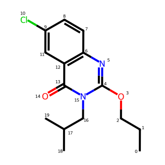 CCCOc1nc2ccc(Cl)cc2c(=O)n1CC(C)C